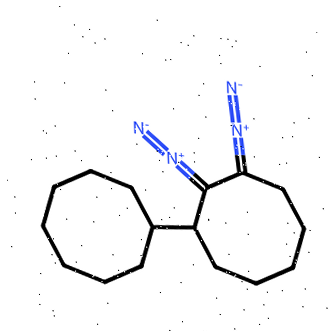 [N-]=[N+]=C1CCCCCC(C2CCCCCCC2)C1=[N+]=[N-]